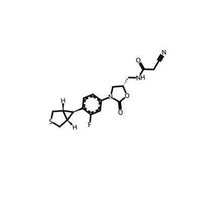 N#CCC(=O)NC[C@H]1CN(c2ccc([C@H]3[C@@H]4CSC[C@@H]43)c(F)c2)C(=O)O1